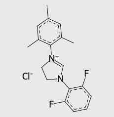 Cc1cc(C)c([N+]2=CN(c3c(F)cccc3F)CC2)c(C)c1.[Cl-]